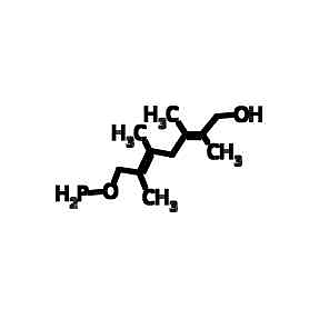 C/C(CO)=C(/C)C/C(C)=C(\C)COP